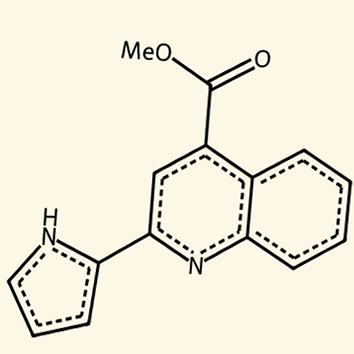 COC(=O)c1cc(-c2ccc[nH]2)nc2ccccc12